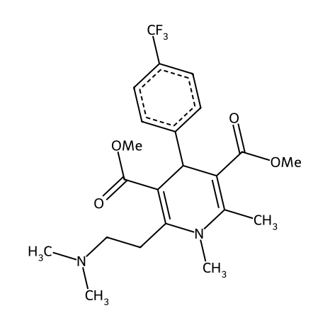 COC(=O)C1=C(C)N(C)C(CCN(C)C)=C(C(=O)OC)C1c1ccc(C(F)(F)F)cc1